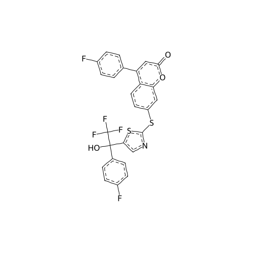 O=c1cc(-c2ccc(F)cc2)c2ccc(Sc3ncc(C(O)(c4ccc(F)cc4)C(F)(F)F)s3)cc2o1